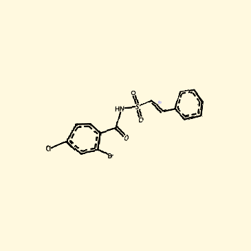 O=C(NS(=O)(=O)/C=C/c1ccccc1)c1ccc(Cl)cc1Br